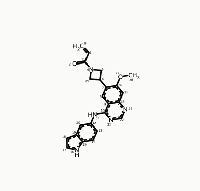 C=CC(=O)N1CC(c2cc3c(Nc4ccc5[nH]ccc5c4)ncnc3cc2OC)C1